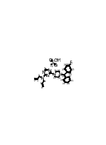 C=CCN(CC=C)c1ncnc(N2CCN(C(c3ccccc3)c3ccc(F)cc3)CC2)n1.CS(=O)(=O)O